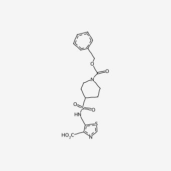 O=C(O)c1ncsc1NS(=O)(=O)C1CCN(C(=O)OCc2ccccc2)CC1